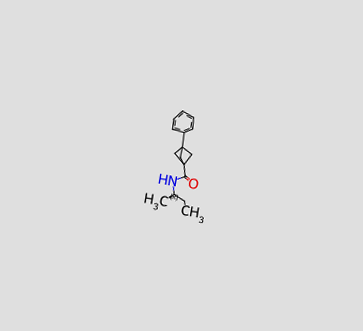 CC[C@@H](C)NC(=O)C12CC(c3ccccc3)(C1)C2